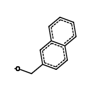 [O]Cc1ccc2ccccc2c1